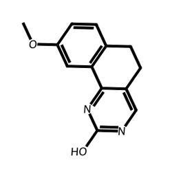 COc1ccc2c(c1)-c1nc(O)ncc1CC2